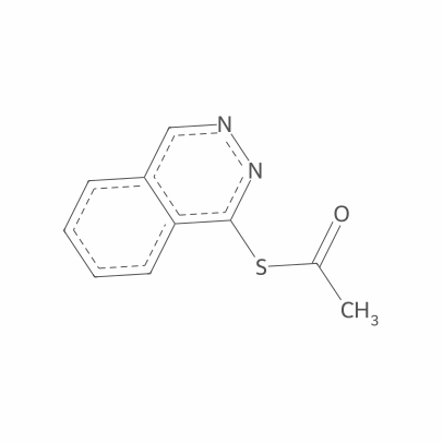 CC(=O)Sc1nncc2ccccc12